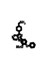 COc1cc(C2=NC(C3CCC(CN)CC3)=C3C=NC=C[N+]23N)ccc1Oc1ccccc1